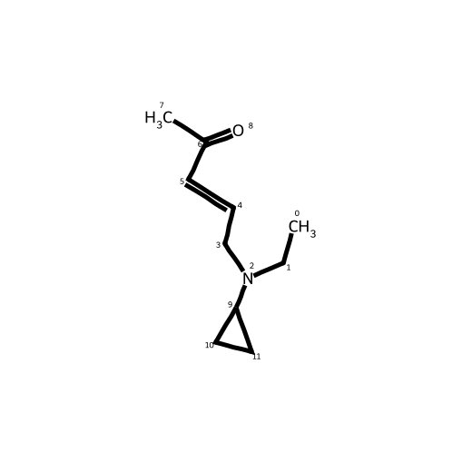 CCN(C/C=C/C(C)=O)C1CC1